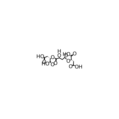 O=C(O)C[C@H](OC(=O)CC(O)C(=O)O[C@@H](CC(=O)O)C(=O)O)C(=O)O